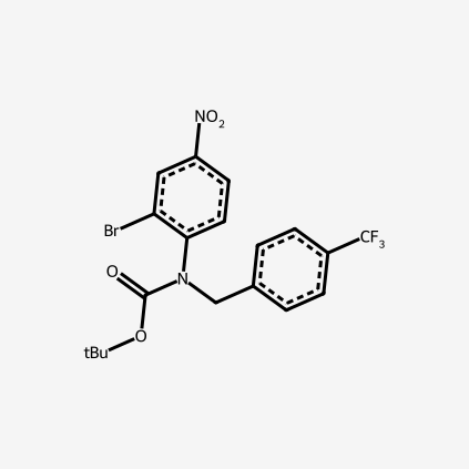 CC(C)(C)OC(=O)N(Cc1ccc(C(F)(F)F)cc1)c1ccc([N+](=O)[O-])cc1Br